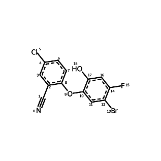 N#Cc1cc(Cl)ccc1Oc1cc(Br)c(F)cc1O